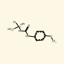 CCC[C@](CC)(NC(=O)Nc1ccc(OC(F)(F)F)cc1)C(=O)O